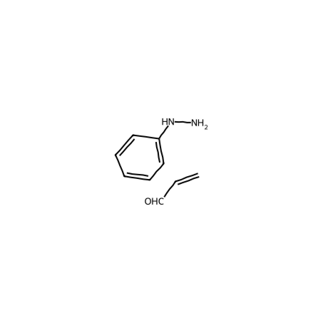 C=CC=O.NNc1ccccc1